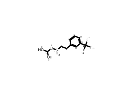 OC(O)O[SiH2]CCc1cccc(C(F)(F)F)c1